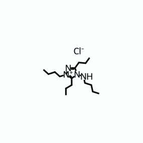 CCCCNn1c(CCC)n[n+](CCCC)c1CCC.[Cl-]